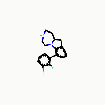 Fc1c(Cl)cccc1-c1cccc2c1N1CCNCCC1C2